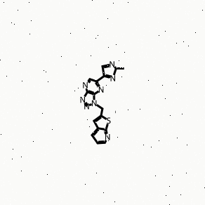 CC1N=CC(c2cnc3nnn(Cc4cc5cccnc5s4)c3n2)=N1